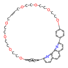 C1=CCOCCOCCOCCOc2ccc(cc2)-c2ccc3ccc4ccc(nc4c3n2)-c2ccc(cc2)OCCOCCOCCOC1